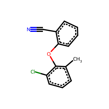 Cc1cccc(Cl)c1Oc1ccccc1C#N